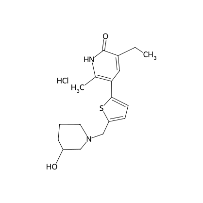 CCc1cc(-c2ccc(CN3CCCC(O)C3)s2)c(C)[nH]c1=O.Cl